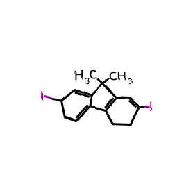 CC1(C)C2=CC(I)CC=C2C2=C1C=C(I)CC2